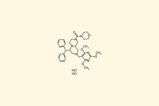 COc1nc(OC)c(CN2CC3CN(C(=O)N4CCOCC4)CCN3C(C(c3ccccc3)c3ccccc3)C2)c(OC)n1.Cl.Cl